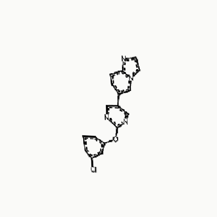 Clc1cccc(Oc2ncc(-c3ccc4nccn4c3)cn2)c1